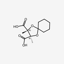 C[C@@]1(C(=O)O)OC2(CCCCC2)O[C@@]1(C)C(=O)O